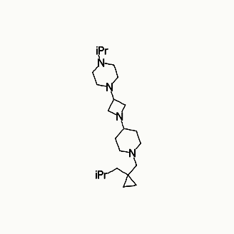 CC(C)CC1(CN2CCC(N3CC(N4CCN(C(C)C)CC4)C3)CC2)CC1